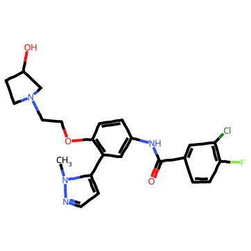 Cn1nccc1-c1cc(NC(=O)c2ccc(F)c(Cl)c2)ccc1OCCN1CCC(O)C1